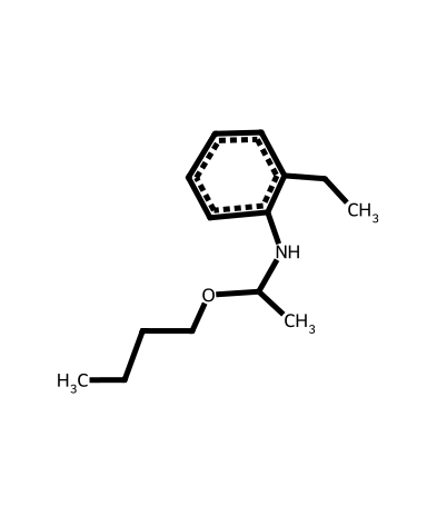 CCCCOC(C)Nc1ccccc1CC